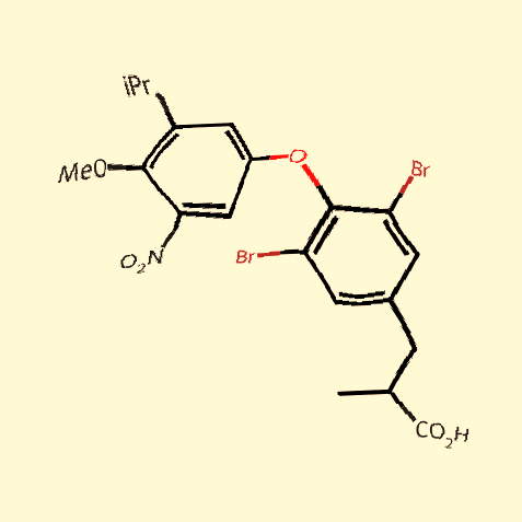 COc1c(C(C)C)cc(Oc2c(Br)cc(CC(C)C(=O)O)cc2Br)cc1[N+](=O)[O-]